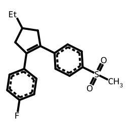 CCC1CC(c2ccc(F)cc2)=C(c2ccc(S(C)(=O)=O)cc2)C1